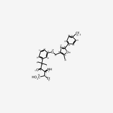 CC[C@H](C(=N)C(=O)C(C)(C)c1cccc(OCc2nc(-c3ccc(C(F)(F)F)cc3)oc2C)c1)C(=O)O